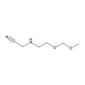 COCOCCNCC#N